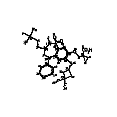 CN1[C@H](CCC(C)(F)F)CN(c2ccccc2)c2nc(SC3CC(F)(F)C3)c(OCC3(C(=O)O)CC3)cc2S1(=O)=O